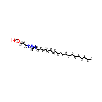 CCCCCCCCCCCCCCCCCCCCC=CNCCCO